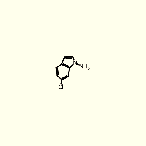 Nn1ccc2ccc(Cl)cc21